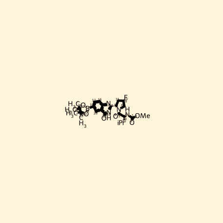 COC(=O)N[C@H](C(=O)N1C[C@@H](F)C[C@H]1c1nc2ccc(B3OC(C)(C)C(C)(C)O3)cc2c(=O)[nH]1)C(C)C